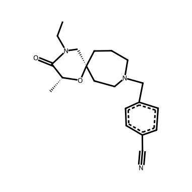 CCN1C[C@@]2(CCCN(Cc3ccc(C#N)cc3)CC2)O[C@H](C)C1=O